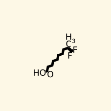 CC(CCCCCCCC(=O)O)=C(F)F